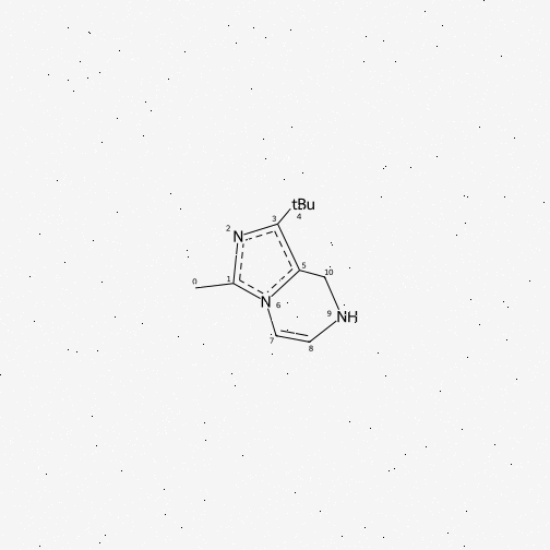 Cc1nc(C(C)(C)C)c2n1C=CNC2